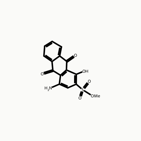 COS(=O)(=O)c1cc(N)c2c(c1O)C(=O)c1ccccc1C2=O